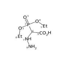 CCOP(=O)(OCC)C(NN)C(=O)O